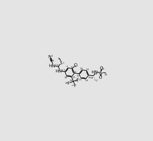 CSC(NC#N)Nc1cc(Cl)c(-c2ccc([C@@H](C)NS(C)(=O)=O)cc2)c(C(F)(F)F)c1